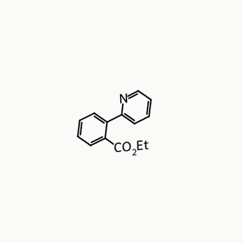 CCOC(=O)c1ccccc1-c1ccccn1